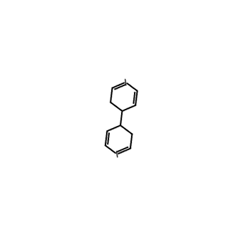 C1=CC(C2C=CI=CC2)CC=I1